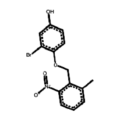 Cc1cccc([N+](=O)[O-])c1COc1ccc(O)cc1Br